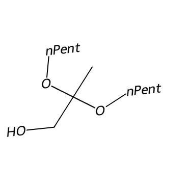 CCCCCOC(C)(CO)OCCCCC